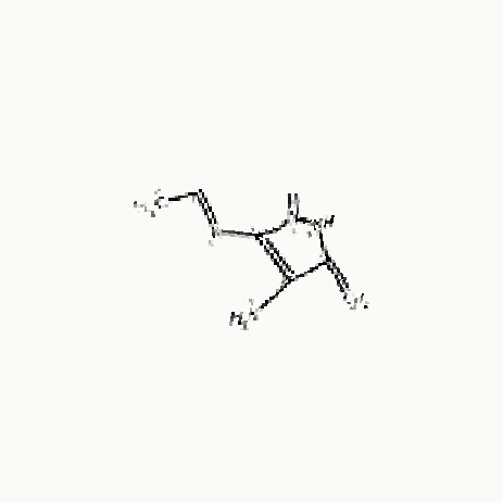 C=C1NNC(/N=C/C)=C1N